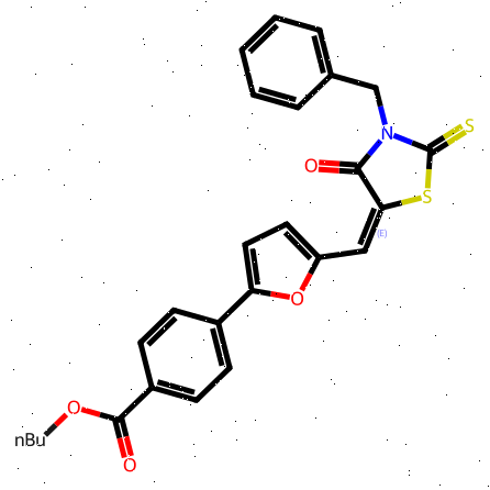 CCCCOC(=O)c1ccc(-c2ccc(/C=C3/SC(=S)N(Cc4ccccc4)C3=O)o2)cc1